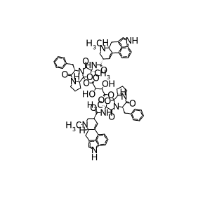 CN1C[C@@H](C(=O)N[C@@]2(C)O[C@]3(OC(=O)C(O)C(O)C(=O)O[C@]45O[C@](C)(NC(=O)[C@H]6C=C7c8cccc9[nH]cc(c89)C[C@@H]7N(C)C6)C(=O)N4[C@H](Cc4ccccc4)C(=O)N4CCC[C@@H]45)[C@H]4CCCN4C(=O)[C@@H](Cc4ccccc4)N3C2=O)C=C2c3cccc4[nH]cc(c34)C[C@@H]21